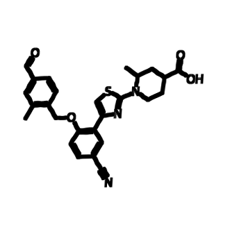 Cc1cc(C=O)ccc1COc1ccc(C#N)cc1-c1csc(N2CCC(C(=O)O)CC2C)n1